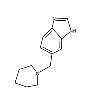 c1nc2ccc(CN3CCCCC3)cc2[nH]1